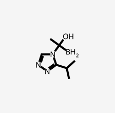 BC(C)(O)n1cnnc1C(C)C